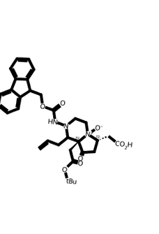 C=CCC1N(NC(=O)OCC2c3ccccc3-c3ccccc32)CC[N+]2([O-])[C@H](CC(=O)O)CC(=O)[C@]12CC(=O)OC(C)(C)C